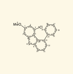 COc1cc(Cl)c2c(c1)sc1cccc(-c3ccccc3)c12